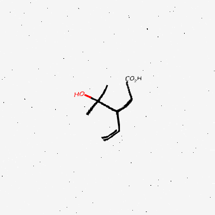 C=CC(CC(=O)O)C(C)(C)O